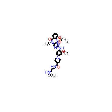 CCOc1cc(N2CCC(C(=O)NCCCNC(=O)O)CC2)ccc1Nc1ncc2c(n1)N(S(C)(=O)=O)c1ccccc1C(=O)N2C